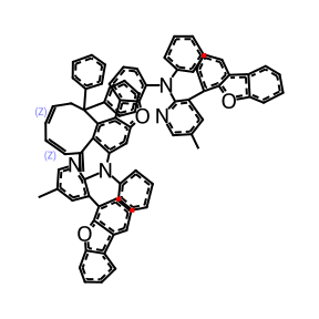 C=C1/C=C\C=C/CC(c2ccccc2)(c2ccccc2)c2c1c(N(c1ccccc1)c1ncc(C)cc1-c1cccc3c1oc1ccccc13)cc1oc3c(N(c4ccccc4)c4ncc(C)cc4-c4cccc5c4oc4ccccc45)cccc3c21